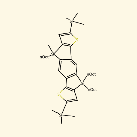 CCCCCCCC[Si]1(C)c2cc3c(cc2-c2sc([Si](C)(C)C)cc21)[Si](CCCCCCCC)(CCCCCCCC)c1cc([Si](C)(C)C)sc1-3